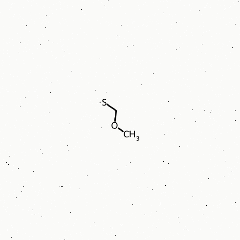 COC[S]